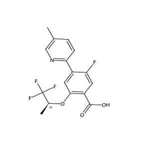 Cc1ccc(-c2cc(O[C@@H](C)C(F)(F)F)c(C(=O)O)cc2F)nc1